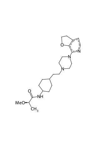 CO[C@H](C)C(=O)NC1CCC(CCN2CCN(c3nccc4c3OCC4)CC2)CC1